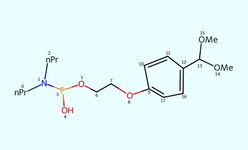 CCCN(CCC)P(O)OCCOc1ccc(C(OC)OC)cc1